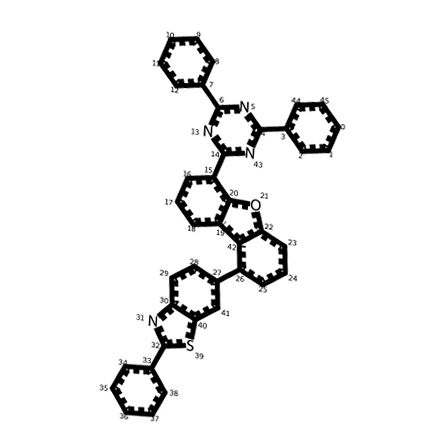 c1ccc(-c2nc(-c3ccccc3)nc(-c3cccc4c3oc3cccc(-c5ccc6nc(-c7ccccc7)sc6c5)c34)n2)cc1